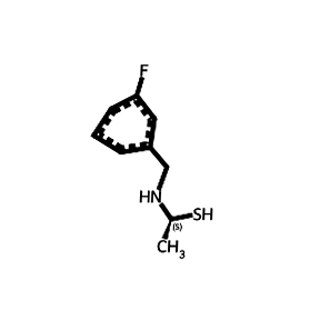 C[C@H](S)NCc1cccc(F)c1